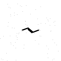 I/C=C/I